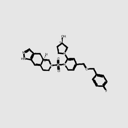 O=S(=O)(N1CCC2=Cc3[nH]ncc3C[C@H]2C1)N1CC=C(COCc2ccc(F)cc2)C=C1N1CC[C@@H](O)C1